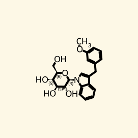 COc1cccc(Cc2cn([C@@H]3O[C@H](CO)[C@@H](O)[C@H](O)[C@H]3O)c3ccccc23)c1